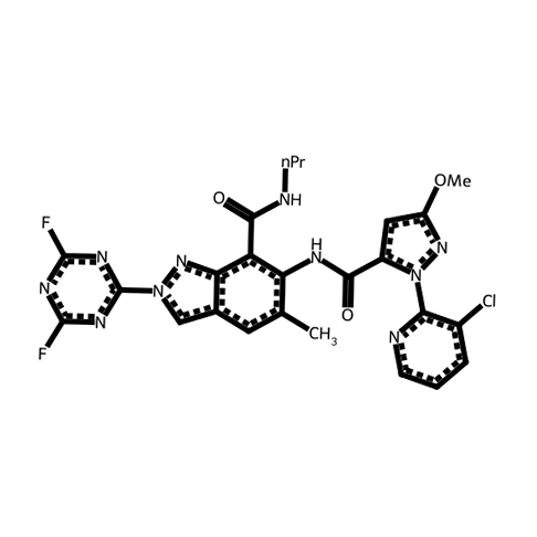 CCCNC(=O)c1c(NC(=O)c2cc(OC)nn2-c2ncccc2Cl)c(C)cc2cn(-c3nc(F)nc(F)n3)nc12